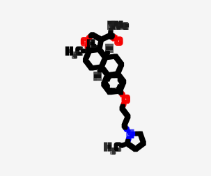 CNC(=O)C1CO[C@@]2(C)CC[C@@H]3c4ccc(OCCCN5CCC[C@H]5C)cc4CC[C@H]3[C@H]12